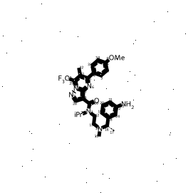 COc1ccc(-c2nc3c(C(=O)N(CCN(C)[C@@H](C)c4cccc(N)c4)C(C)C)cnn3c(C(F)(F)F)c2C)cc1